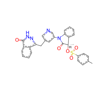 Cc1ccc(S(=O)(=O)O[C@@]2(C)C(=O)N(c3cncc(Cc4n[nH]c(=O)c5ccccc45)c3)c3ccccc32)cc1